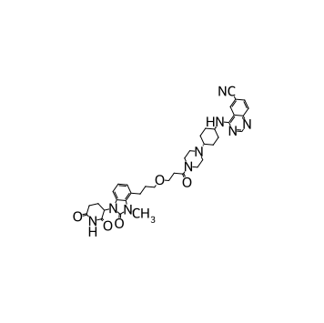 Cn1c(=O)n(C2CCC(=O)NC2=O)c2cccc(CCCOCCC(=O)N3CCN([C@H]4CC[C@H](Nc5ncnc6ccc(C#N)cc56)CC4)CC3)c21